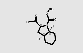 CC(C)(C)OC(=O)N1[C@H](C(=O)Cl)C[C@@H]2CCCC[C@@H]21